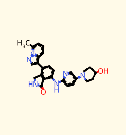 Cc1cccc2c(-c3ccc(Nc4ccc(N5CCC(O)CC5)cn4)c4c3CNC4=O)cnn12